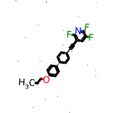 CCCOc1ccc([C@H]2CC[C@H](C#Cc3cc(F)c(F)nc3F)CC2)cc1